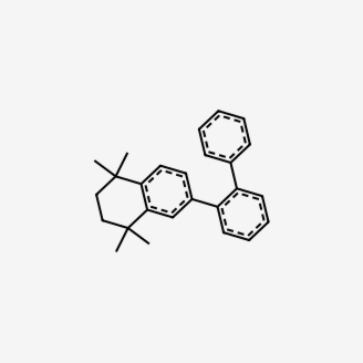 CC1(C)CCC(C)(C)c2cc(-c3ccccc3-c3ccccc3)ccc21